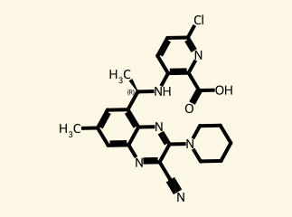 Cc1cc([C@@H](C)Nc2ccc(Cl)nc2C(=O)O)c2nc(N3CCCCC3)c(C#N)nc2c1